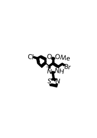 COC(=O)C1=C(CBr)NC(c2nccs2)=N[C@H]1c1ccc(Cl)cc1